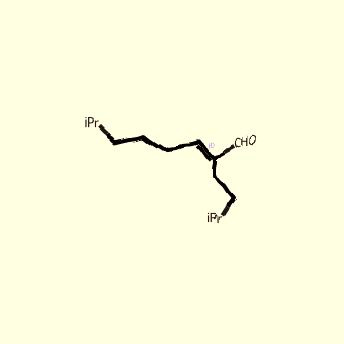 CC(C)CCC/C=C(/C=O)CCC(C)C